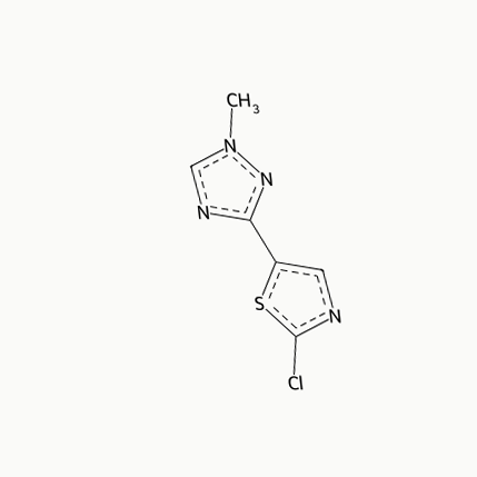 Cn1cnc(-c2cnc(Cl)s2)n1